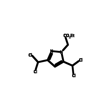 CCOC(=O)Cn1nc(C(Cl)Cl)cc1C(Cl)Cl